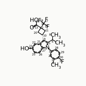 Cc1cc(-n2c(C(C)C)c([C@H]3C[C@](C(=O)O)(C(F)(F)F)C3)c3cc(O)ccc32)ccc1F